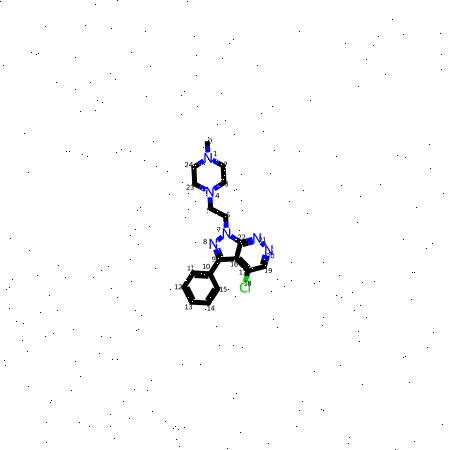 CN1CCN(CCn2nc(-c3ccccc3)c3c(Cl)cnnc32)CC1